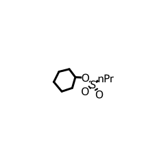 CCCS(=O)(=O)OC1CCCCC1